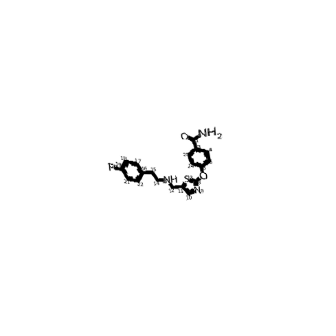 NC(=O)c1ccc(Oc2ncc(CNCCc3ccc(F)cc3)s2)cc1